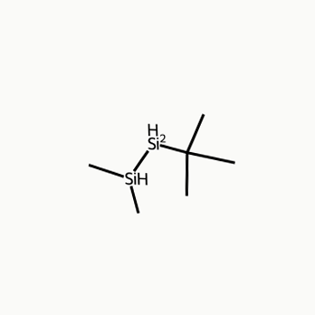 C[SiH](C)[SiH2]C(C)(C)C